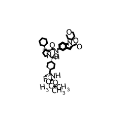 CC(C)(C)OC(=O)N[C@H](CF)[C@H]1CC[C@H](C(=O)N2CC[C@@H](C3CCCCC3)[C@H]2C(=O)Nc2ccc3c(c2)cc2n3C3(CCOCC3)OC2=O)CC1